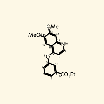 CCOC(=O)c1cccc(Oc2ccnc3cc(OC)c(OC)cc23)c1